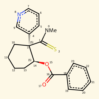 CNC(=S)[C@]1(c2cccnc2)CCCC[C@@H]1OC(=O)c1ccccc1